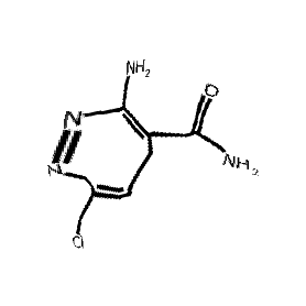 NC(=O)c1cc(Cl)nnc1N